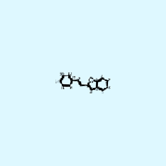 C(=C\c1cc2ccccc2o1)/c1ccccc1